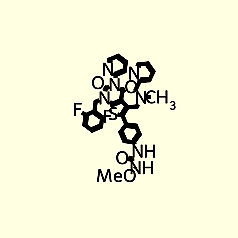 CONC(=O)Nc1ccc(-c2sc3c(c2CN(C)Cc2ccccn2)c(=O)n(-c2ccccn2)c(=O)n3Cc2c(F)cccc2F)cc1